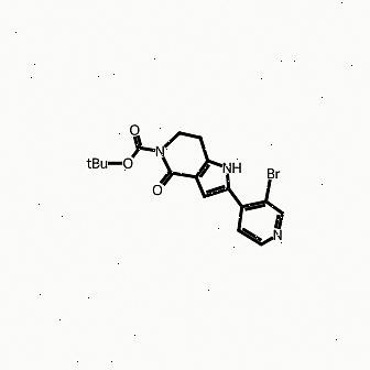 CC(C)(C)OC(=O)N1CCc2[nH]c(-c3ccncc3Br)cc2C1=O